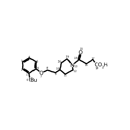 CC(C)(C)c1ccccc1OCCC1CCN(C(=O)CCC(=O)O)CC1